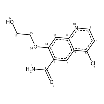 NC(=O)c1cc2c(Cl)ccnc2cc1OCCO